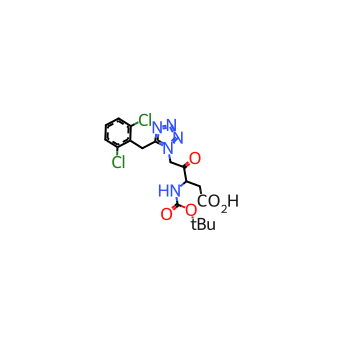 CC(C)(C)OC(=O)NC(CC(=O)O)C(=O)Cn1nnnc1Cc1c(Cl)cccc1Cl